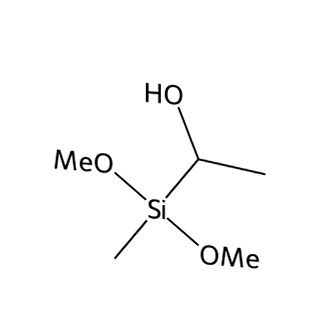 CO[Si](C)(OC)C(C)O